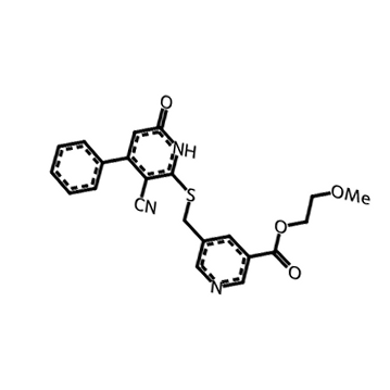 COCCOC(=O)c1cncc(CSc2[nH]c(=O)cc(-c3ccccc3)c2C#N)c1